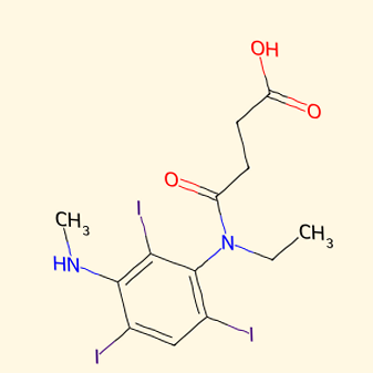 CCN(C(=O)CCC(=O)O)c1c(I)cc(I)c(NC)c1I